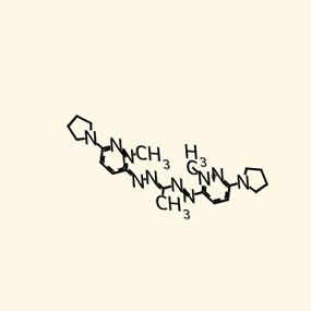 CC(/N=N/c1ccc(N2CCCC2)n[n+]1C)=N\N=c1\ccc(N2CCCC2)nn1C